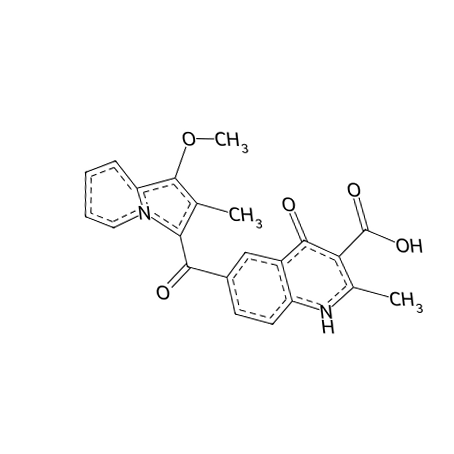 COc1c(C)c(C(=O)c2ccc3[nH]c(C)c(C(=O)O)c(=O)c3c2)n2ccccc12